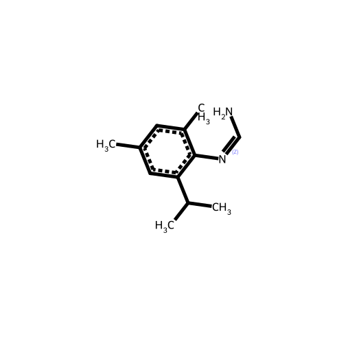 Cc1cc(C)c(/N=C\N)c(C(C)C)c1